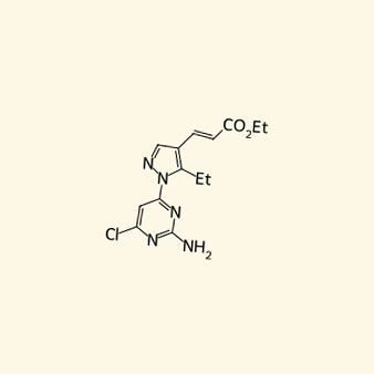 CCOC(=O)C=Cc1cnn(-c2cc(Cl)nc(N)n2)c1CC